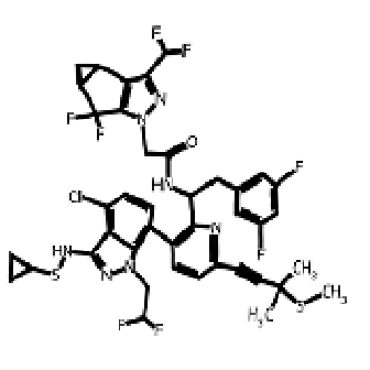 CSC(C)(C)C#Cc1ccc(-c2ccc(Cl)c3c(NSC4CC4)nn(CC(F)F)c23)c(C(Cc2cc(F)cc(F)c2)NC(=O)Cn2nc(C(F)F)c3c2C(F)(F)C2CC32)n1